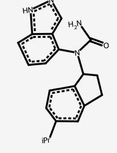 CC(C)c1ccc2c(c1)CCC2N(C(N)=O)c1cccc2[nH]ncc12